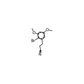 COc1cc(CCC#N)c(Br)c(OC)c1